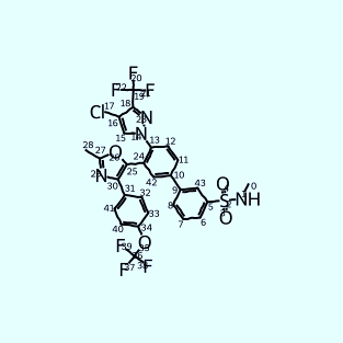 CNS(=O)(=O)c1cccc(-c2ccc(-n3cc(Cl)c(C(F)(F)F)n3)c(-c3oc(C)nc3-c3ccc(OC(F)(F)F)cc3)c2)c1